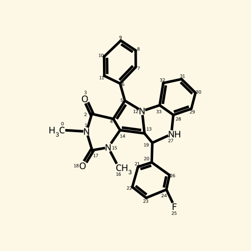 Cn1c(=O)c2c(-c3ccccc3)n3c(c2n(C)c1=O)C(c1cccc(F)c1)Nc1ccccc1-3